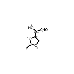 CB1OCC([C@@H](O)C=O)O1